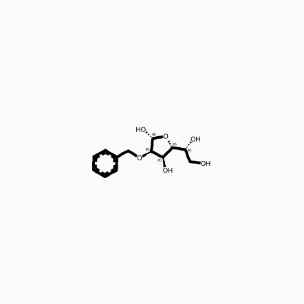 OC[C@@H](O)[C@H]1O[C@@H](O)[C@H](OCc2ccccc2)[C@@H]1O